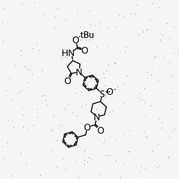 CC(C)(C)OC(=O)N[C@@H]1CC(=O)N(c2ccc([S+]([O-])C3CCN(C(=O)OCc4ccccc4)CC3)cc2)C1